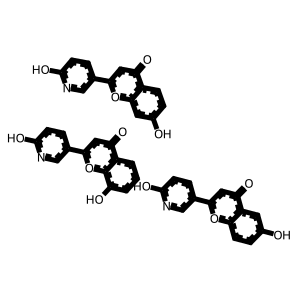 O=c1cc(-c2ccc(O)nc2)oc2c(O)cccc12.O=c1cc(-c2ccc(O)nc2)oc2cc(O)ccc12.O=c1cc(-c2ccc(O)nc2)oc2ccc(O)cc12